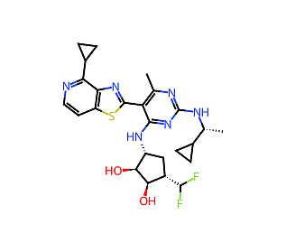 Cc1nc(N[C@H](C)C2CC2)nc(N[C@@H]2C[C@H](C(F)F)[C@@H](O)[C@H]2O)c1-c1nc2c(C3CC3)nccc2s1